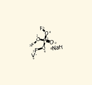 O=P(OF)(OF)OF.[NaH].[V]